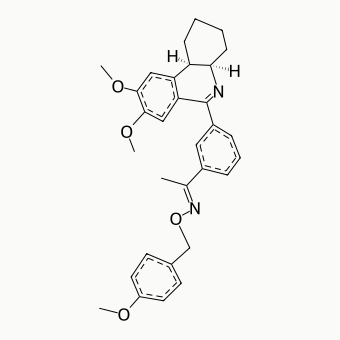 COc1ccc(CO/N=C(\C)c2cccc(C3=N[C@@H]4CCCC[C@@H]4c4cc(OC)c(OC)cc43)c2)cc1